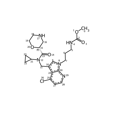 COC(=O)NCCCn1cc(CN(C(=O)[C@H]2CNCCO2)C2CC2)c2c(Cl)ccnc21